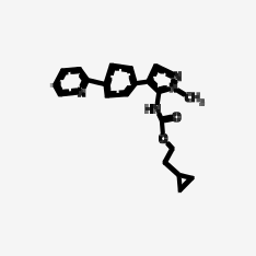 Cn1ncc(-c2ccc(-c3cc[c]cn3)cc2)c1NC(=O)OCCC1CC1